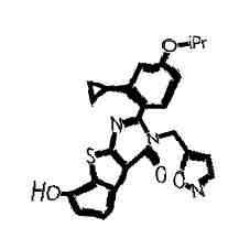 CC(C)Oc1ccc(-c2nc3sc4c(O)cccc4c3c(=O)n2Cc2ccno2)c(C2CC2)c1